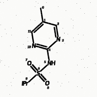 Cc1cnc(NS(=O)(=O)C(C)C)nc1